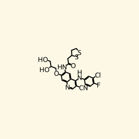 N#Cc1cnc2cc(OCC(O)CO)c(NC(=O)CC3CCSS3)cc2c1Nc1ccc(F)c(Cl)c1